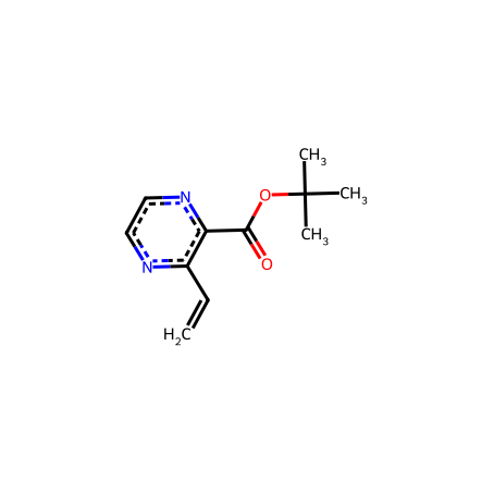 C=Cc1nccnc1C(=O)OC(C)(C)C